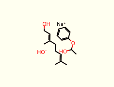 CC(C)=CCC/C(C)=C/CO.CC(O)Oc1ccccc1.[Na+].[OH-]